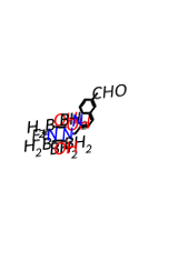 BC1(B)N(CC)C(B)(O)C(B)(O)N(Cc2ccc3cc(C=O)ccc3n2)C1(B)O